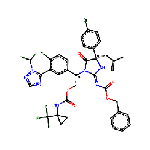 C=C(C)C[C@]1(c2ccc(Br)cc2)NC(=NC(=O)OCc2ccccc2)N([C@H](COC(=O)NC2(C(F)(F)F)CC2)c2ccc(Cl)c(-c3ncnn3C(F)F)c2)C1=O